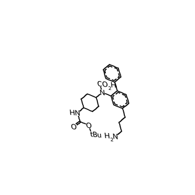 CC(C)(C)OC(=O)NC1CCC(N(C(=O)O)c2cc(CCCN)ccc2-c2ccccc2)CC1